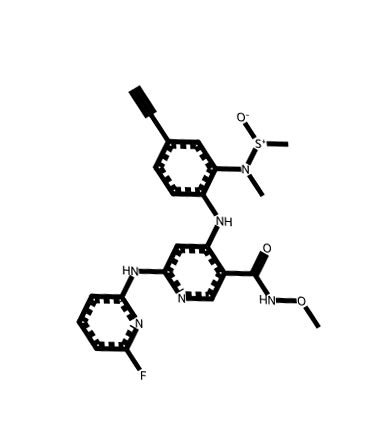 C#Cc1ccc(Nc2cc(Nc3cccc(F)n3)ncc2C(=O)NOC)c(N(C)[S+](C)[O-])c1